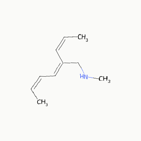 C\C=C/C=C(\C=C/C)CNC